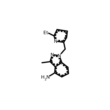 CCc1cccc(Cn2nc(C)c3c(N)cccc32)n1